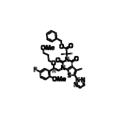 COCCCO[C@@H](Cn1c(=O)n(C(C)(C)C(=O)OCc2ccccc2)c(=O)c2c(C)c(-n3nccn3)sc21)c1cc(F)ccc1OC